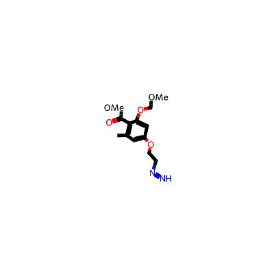 COCOc1cc(OCCN=N)cc(C)c1C(=O)OC